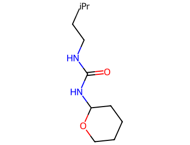 CC(C)CCNC(=O)NC1CCCCO1